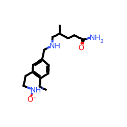 CC(CCC(N)=O)CNCc1ccc2c(c1)CC[NH+]([O-])C2C